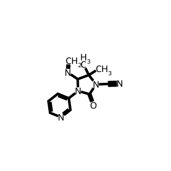 C=NC1N(c2cccnc2)C(=O)N(C#N)C1(C)C